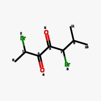 CC(Br)C(=O)C(=O)C(Br)C(C)C